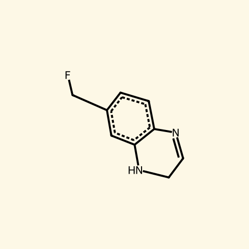 FCc1ccc2c(c1)NCC=N2